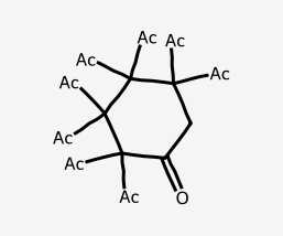 CC(=O)C1(C(C)=O)CC(=O)C(C(C)=O)(C(C)=O)C(C(C)=O)(C(C)=O)C1(C(C)=O)C(C)=O